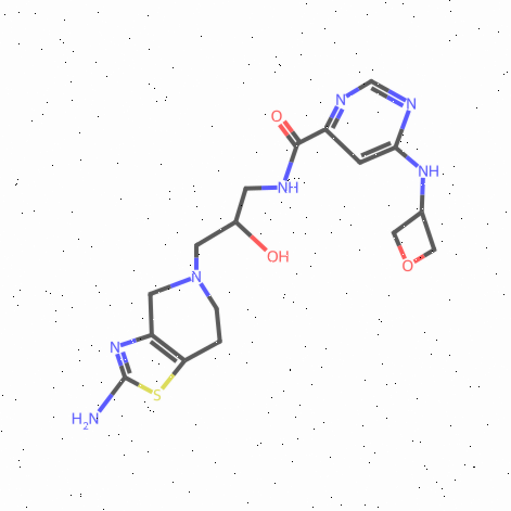 Nc1nc2c(s1)CCN(CC(O)CNC(=O)c1cc(NC3COC3)ncn1)C2